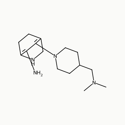 CN(C)CC1CCN(C2=C3CCC(=C2N)NC3)CC1